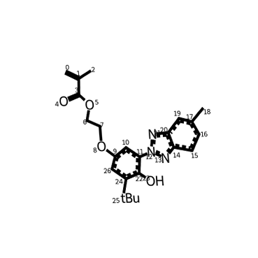 C=C(C)C(=O)OCCOc1cc(-n2nc3ccc(C)cc3n2)c(O)c(C(C)(C)C)c1